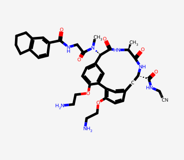 C[C@@H]1NC(=O)[C@@H](N(C)C(=O)CNC(=O)c2ccc3c(c2)CCCC3)c2ccc(OCCN)c(c2)-c2cc(ccc2OCCN)C[C@@H](C(=O)NCC#N)NC1=O